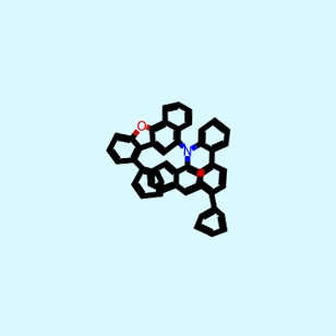 c1ccc(-c2ccc(-c3ccccc3N(c3cccc4ccccc34)c3cc4c(oc5cccc(-c6ccccc6)c54)c4ccccc34)cc2)cc1